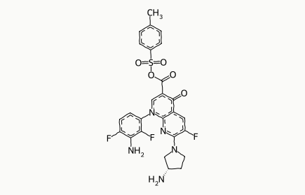 Cc1ccc(S(=O)(=O)OC(=O)c2cn(-c3ccc(F)c(N)c3F)c3nc(N4CC[C@H](N)C4)c(F)cc3c2=O)cc1